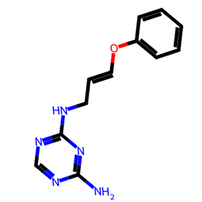 Nc1ncnc(NCC=COc2ccccc2)n1